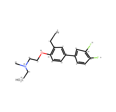 CC(C)Cc1cc(-c2ccc(F)c(F)c2)ccc1OCCN(C)CC(=O)O